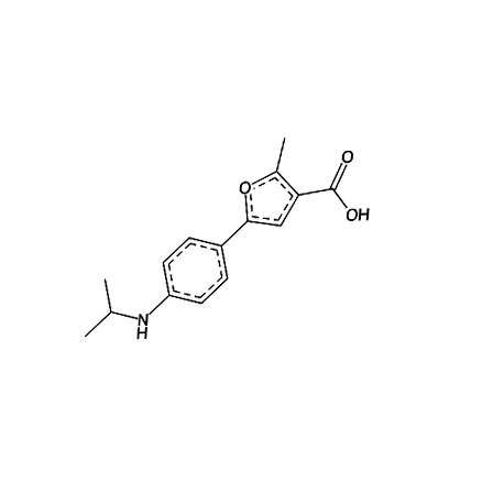 Cc1oc(-c2ccc(NC(C)C)cc2)cc1C(=O)O